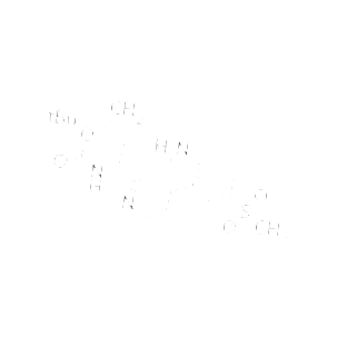 C=CCC(NC(=O)OC(C)(C)C)c1cc(-c2cc(S(C)(=O)=O)ccc2N)ccn1